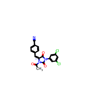 CC(=O)N1C(=O)N(c2cc(Cl)cc(Cl)c2)C(=O)/C1=C\c1ccc(C#N)cc1